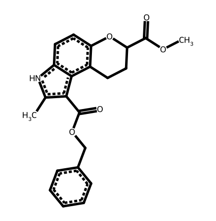 COC(=O)C1CCc2c(ccc3[nH]c(C)c(C(=O)OCc4ccccc4)c23)O1